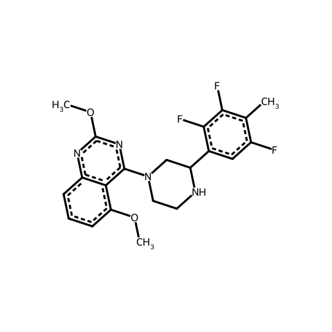 COc1nc(N2CCNC(c3cc(F)c(C)c(F)c3F)C2)c2c(OC)cccc2n1